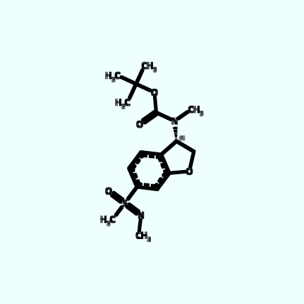 CN=S(C)(=O)c1ccc2c(c1)OC[C@H]2N(C)C(=O)OC(C)(C)C